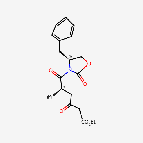 CCOC(=O)CC(=O)C[C@H](C(=O)N1C(=O)OC[C@@H]1Cc1ccccc1)C(C)C